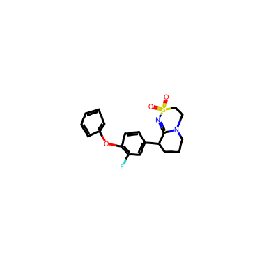 O=S1(=O)CCN2CCCC(c3ccc(Oc4ccccc4)c(F)c3)C2=N1